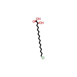 O=C(O)C(O)CCCCCCCCCCCCCCCCl